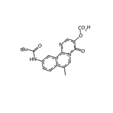 Cc1cn2c(=O)c(OC(=O)O)cnc2c2cc(NC(=O)C(C)(C)C)ccc12